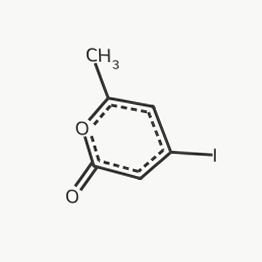 Cc1cc(I)cc(=O)o1